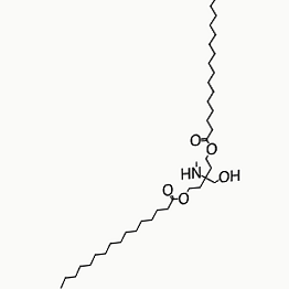 CCCCCCCCCCCCCCCC(=O)OCCC(CO)(CCOC(=O)CCCCCCCCCCCCCCC)NC